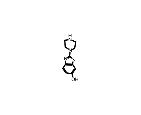 Oc1ccc2nc(N3CCNCC3)sc2c1